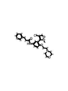 Cn1ncc(Cl)c1-c1cc(NC(=O)CCc2cccnc2)ccc1OCCN1CCOCC1